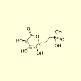 O=C1O[C@H](CCP(=O)(O)O)[C@@H](O)[C@H](O)[C@H]1O